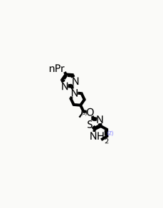 C/C=C\c1nc(O[C@@H](C)C2CCN(c3ncc(CCC)cn3)CC2)sc1N